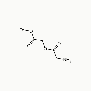 CCOC(=O)COC(=O)CN